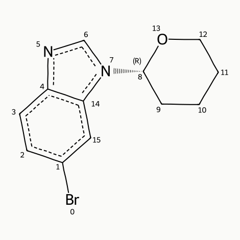 Brc1ccc2ncn([C@H]3CCCCO3)c2c1